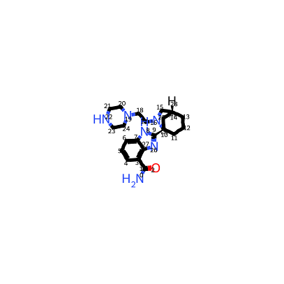 NC(=O)c1cccc2[nH]c([C@@]34CCC[C@@H](CN3CCN3CCNCC3)C4)nc12